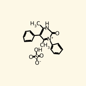 Cc1[nH]c(=O)[n+](-c2ccccc2)c(C)c1-c1ccccc1.O=S(=O)([O-])O